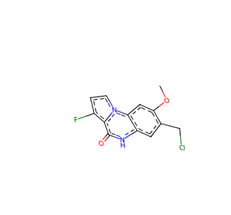 COc1cc2c(cc1CCl)[nH]c(=O)c1c(F)ccn12